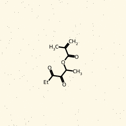 C=C(C)C(=O)OC(C)C(=O)C(=O)CC